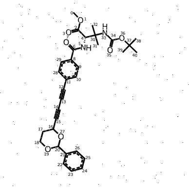 COC(=O)[C@@H](NC(=O)c1ccc(C#CC#CC2CCOC(c3ccccc3)O2)cc1)C(C)(C)NC(=O)OC(C)(C)C